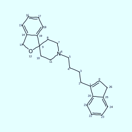 C1=C(CCCCN2CCC3(CC2)OCc2ccccc23)c2ccccc2C1